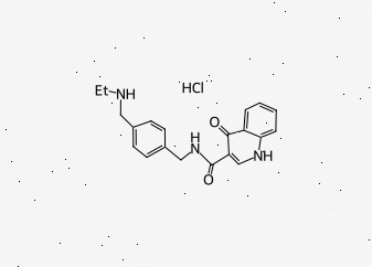 CCNCc1ccc(CNC(=O)c2c[nH]c3ccccc3c2=O)cc1.Cl